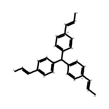 CC=Cc1ccc(C(c2ccc(C=CC)cc2)c2ccc(C=CC)cc2)cc1